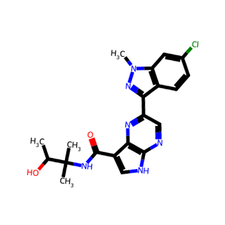 CC(O)C(C)(C)NC(=O)c1c[nH]c2ncc(-c3nn(C)c4cc(Cl)ccc34)nc12